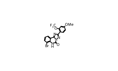 COc1ccc(-c2nc3c4cccc(Br)c4[nH]c(=O)n3n2)c(OC(F)(F)F)c1